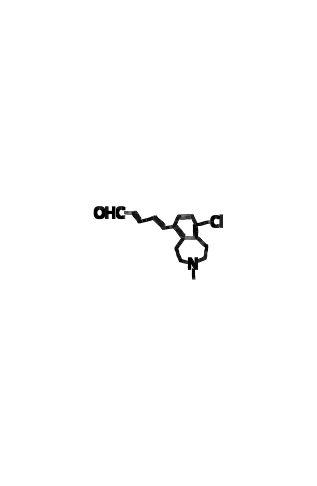 CN1CCc2c(Cl)ccc(C=CC=CC=O)c2CC1